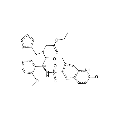 CCOC(=O)CN(Cc1cccs1)C(=O)[C@@H](NS(=O)(=O)c1cc2ccc(=O)[nH]c2cc1C)c1ccccc1OC